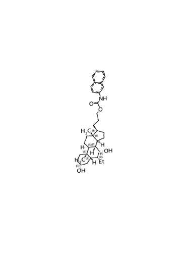 CC[C@H]1[C@@H](O)[C@@H]2[C@H](CC[C@]3(C)[C@@H](CCCOC(=O)Nc4ccc5ccccc5c4)CC[C@@H]23)[C@@]2(C)CC[C@@H](O)C[C@@H]12